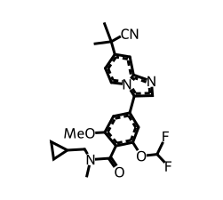 COc1cc(-c2cnc3cc(C(C)(C)C#N)ccn23)cc(OC(F)F)c1C(=O)N(C)CC1CC1